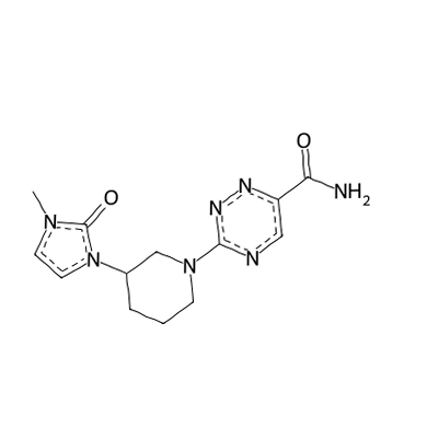 Cn1ccn(C2CCCN(c3ncc(C(N)=O)nn3)C2)c1=O